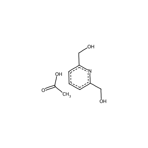 CC(=O)O.OCc1cccc(CO)n1